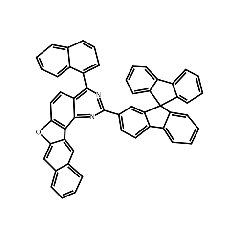 c1ccc2c(c1)-c1ccccc1C21c2ccccc2-c2ccc(-c3nc(-c4cccc5ccccc45)c4ccc5oc6cc7ccccc7cc6c5c4n3)cc21